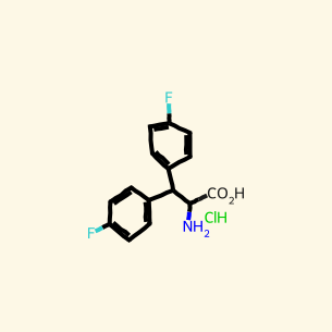 Cl.NC(C(=O)O)C(c1ccc(F)cc1)c1ccc(F)cc1